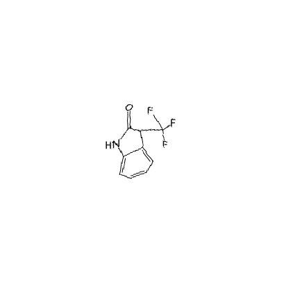 O=C1Nc2ccccc2C1C(F)(F)F